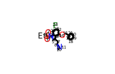 CCS(=O)(=O)n1cc(CCN(C)C)c2c(OCc3ccccc3)cc(F)cc21